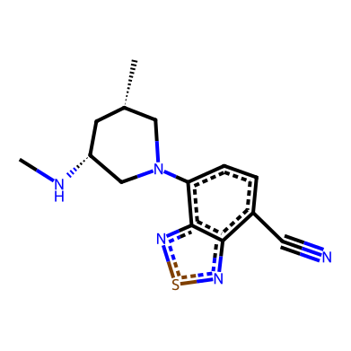 CN[C@@H]1C[C@H](C)CN(c2ccc(C#N)c3nsnc23)C1